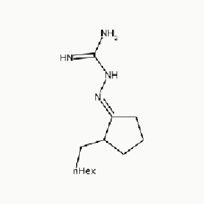 CCCCCCCC1CCC/C1=N\NC(=N)N